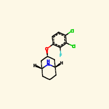 Fc1c(O[C@@H]2C[C@H]3CCC[C@@H](C2)N3)ccc(Cl)c1Cl